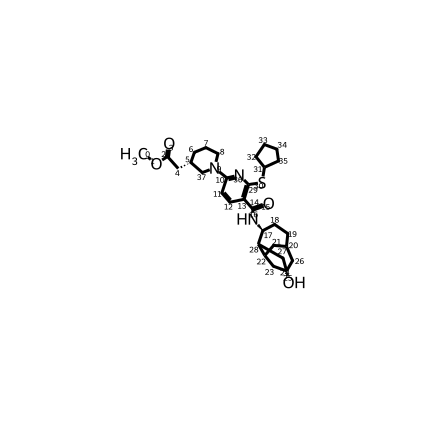 COC(=O)C[C@@H]1CCCN(c2ccc(C(=O)N[C@H]3CCC4CC5C[C@@](O)(C4)CC53)c(SC3CCCC3)n2)C1